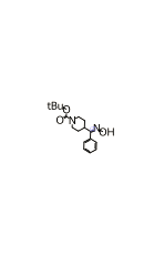 CC(C)(C)OC(=O)N1CCC(/C(=N/O)c2ccccc2)CC1